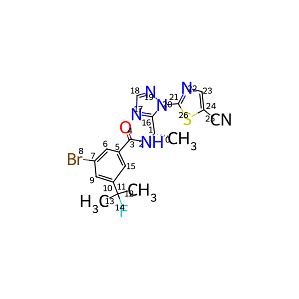 C[C@H](NC(=O)c1cc(Br)cc(C(C)(C)F)c1)c1ncnn1-c1ncc(C#N)s1